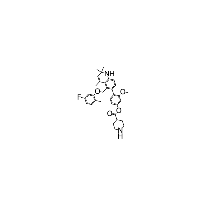 COc1cc(OC(=O)C2CCNCC2)ccc1-c1ccc2c(c1COc1cc(F)ccc1C)C(C)=CC(C)(C)N2